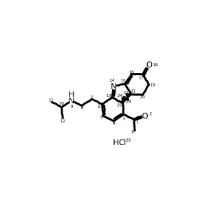 CC(=O)C1=CC=C(CCNC(C)C)C2=NC3=CC(=O)CCC34CC=CC124.Cl